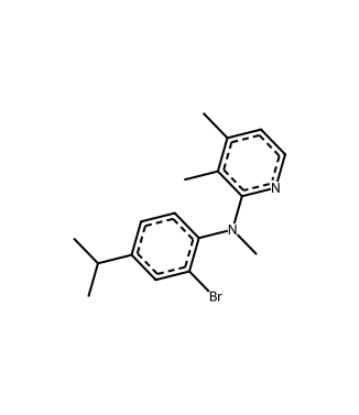 Cc1ccnc(N(C)c2ccc(C(C)C)cc2Br)c1C